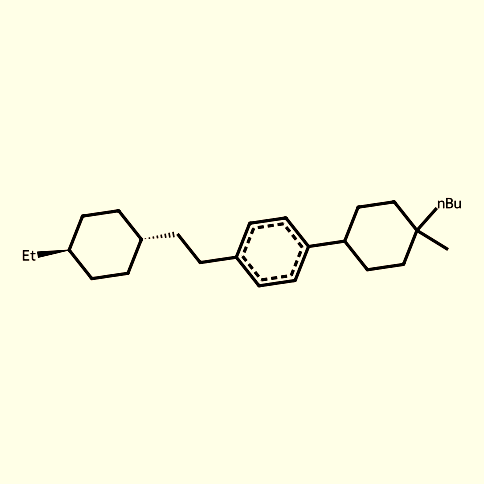 CCCCC1(C)CCC(c2ccc(CC[C@H]3CC[C@H](CC)CC3)cc2)CC1